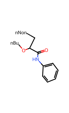 CCCCCCCCCCC(OCCCC)C(=O)Nc1ccccc1